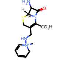 C[N+]1(NCC2=C(C(=O)O)N3C(=O)C(N)[C@H]3SC2)C=CC=CC1